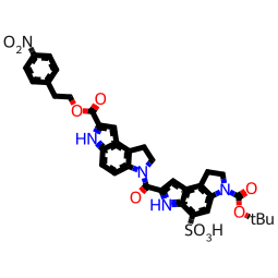 CC(C)(C)OC(=O)N1CCc2c1cc(S(=O)(=O)O)c1[nH]c(C(=O)N3CCc4c3ccc3[nH]c(C(=O)OCCc5ccc([N+](=O)[O-])cc5)cc43)cc21